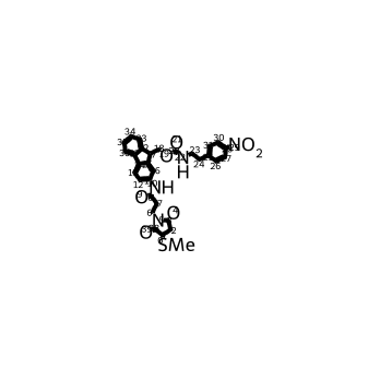 CSC1CC(=O)N(CCC(=O)Nc2ccc3c(c2)C(COC(=O)NCCc2ccc([N+](=O)[O-])cc2)c2ccccc2-3)C1=O